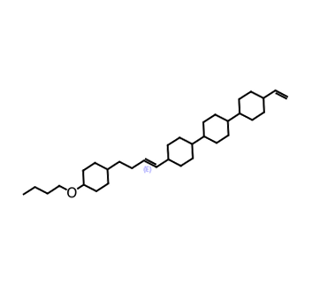 C=CC1CCC(C2CCC(C3CCC(/C=C/CCC4CCC(OCCCC)CC4)CC3)CC2)CC1